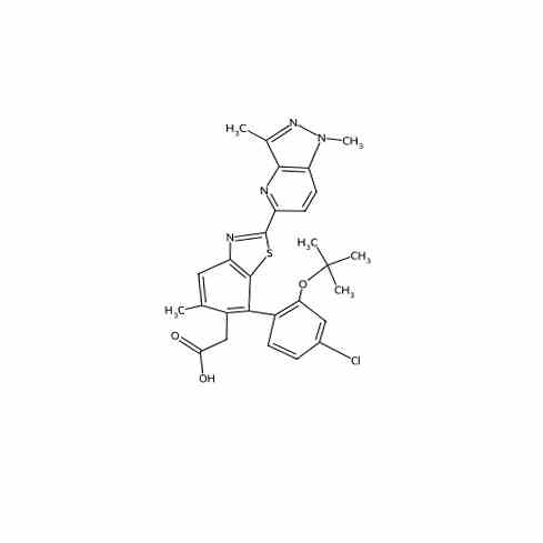 Cc1cc2nc(-c3ccc4c(n3)c(C)nn4C)sc2c(-c2ccc(Cl)cc2OC(C)(C)C)c1CC(=O)O